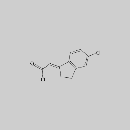 O=C(Cl)/C=C1\CCc2cc(Cl)ccc21